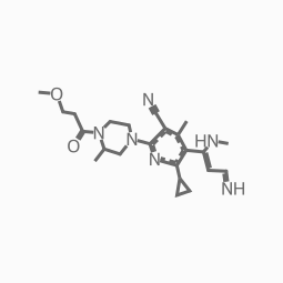 CN/C(=C\C=N)c1c(C2CC2)nc(N2CCN(C(=O)CCOC)C(C)C2)c(C#N)c1C